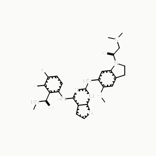 CNC(=O)c1c(Nc2nc(Nc3cc4c(cc3OC)CCN4C(=O)CN(C)C)[nH]c3nccc2-3)ccc(F)c1F